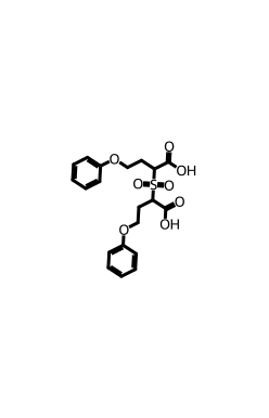 O=C(O)C(CCOc1ccccc1)S(=O)(=O)C(CCOc1ccccc1)C(=O)O